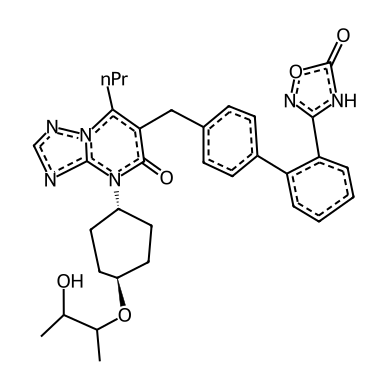 CCCc1c(Cc2ccc(-c3ccccc3-c3noc(=O)[nH]3)cc2)c(=O)n([C@H]2CC[C@H](OC(C)C(C)O)CC2)c2ncnn12